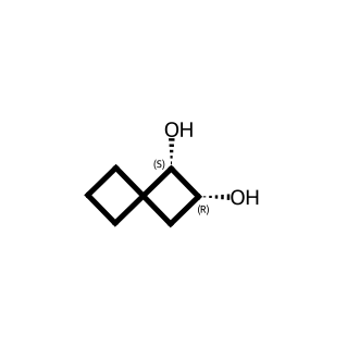 O[C@@H]1CC2(CCC2)[C@@H]1O